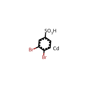 O=S(=O)(O)c1ccc(Br)c(Br)c1.[Cd]